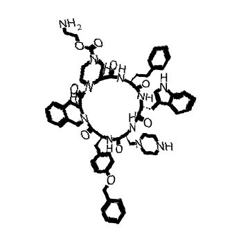 NCCOC(=O)N1CCN2C(=O)[C@@H]3Cc4ccccc4CN3C(=O)[C@H](Cc3ccc(OCc4ccccc4)cc3)NC(=O)[C@H](CN3CCNCC3)NC(=O)[C@@H](Cc3c[nH]c4ccccc34)NC(=O)[C@H](CCc3ccccc3)NC(=O)[C@@H]2C1